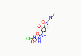 CCN(CC)CCNC(=O)c1ccc(NC(=O)Nc2coc(Cl)n2)cc1OC